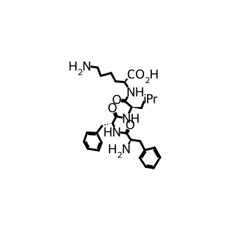 CC(C)C[C@@H](NC(=O)[C@@H](Cc1ccccc1)NC(=O)[C@H](N)Cc1ccccc1)C(=O)N[C@@H](CCCCN)C(=O)O